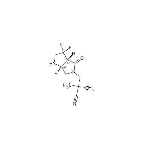 CC(C)(C#N)CN1C[C@@H]2NCC(F)(F)[C@@H]2C1=O